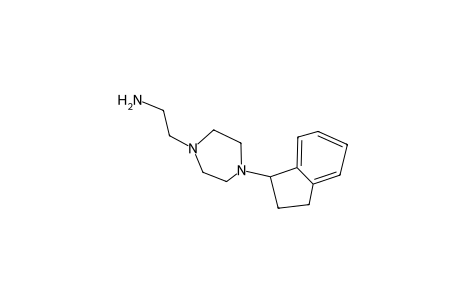 NCCN1CCN(C2CCc3ccccc32)CC1